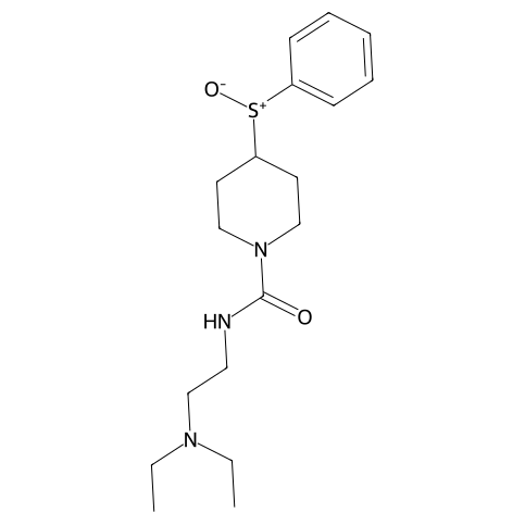 CCN(CC)CCNC(=O)N1CCC([S+]([O-])c2ccccc2)CC1